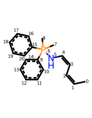 C/C=C\C=C/NP(C)(C)(c1ccccc1)c1ccccc1